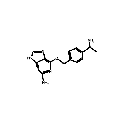 CC(N)c1ccc(COc2nc(N)nc3[nH]cnc23)cc1